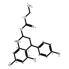 CCOC(=O)OC1CC(c2ccc(Br)cc2)c2c(Cl)cc(Cl)cc2N1